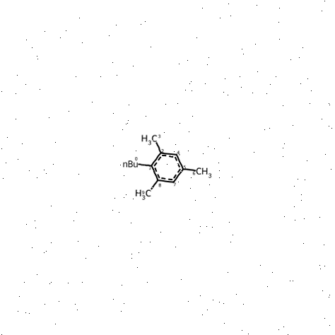 CCCCc1c(C)[c]c(C)cc1C